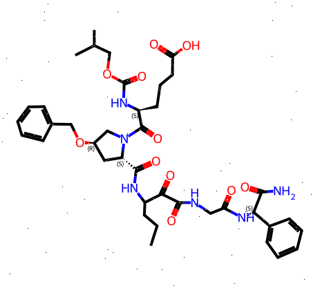 CCCC(NC(=O)[C@@H]1C[C@@H](OCc2ccccc2)CN1C(=O)[C@H](CCCC(=O)O)NC(=O)OCC(C)C)C(=O)C(=O)NCC(=O)N[C@H](C(N)=O)c1ccccc1